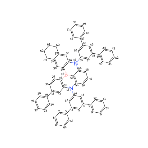 c1ccc(-c2cc(-c3ccccc3)cc(N3c4cc(-c5ccccc5)ccc4B4c5cc6c(cc5N(c5cc(-c7ccccc7)cc(-c7ccccc7)c5)c5cccc3c54)CCCC6)c2)cc1